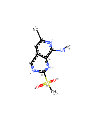 CC(C)Nc1nc(C#N)cc2cnc(S(C)(=O)=O)nc12